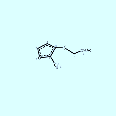 CC(=O)NCSc1ccoc1C